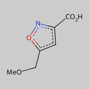 COCc1cc(C(=O)O)no1